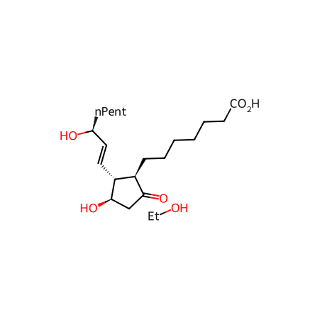 CCCCC[C@H](O)/C=C/[C@H]1[C@H](O)CC(=O)[C@@H]1CCCCCCC(=O)O.CCO